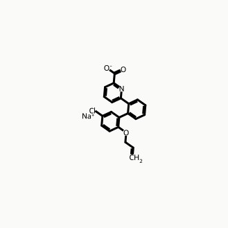 C=CCOc1ccc(Cl)cc1-c1ccccc1-c1cccc(C(=O)[O-])n1.[Na+]